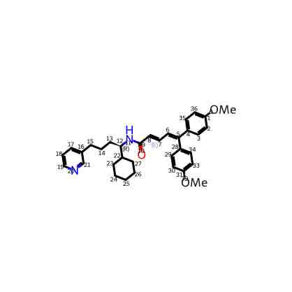 COc1ccc(C(=C/C=C/C(=O)N[C@H](CCCc2cccnc2)C2CCCCC2)c2ccc(OC)cc2)cc1